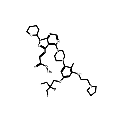 Cc1c(NCCN2CCCC2)cc(OCC(F)(CF)CF)cc1N1CCN(c2ncnc3c2c(C=CC(=O)OC(C)(C)C)nn3C2CCCCO2)CC1